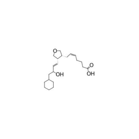 O=C(O)CCC/C=C\C[C@H]1COC[C@H]1/C=C/C(O)CC1CCCCC1